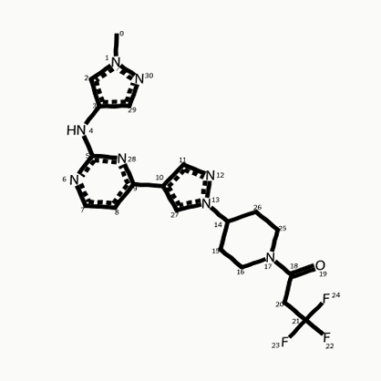 Cn1cc(Nc2nccc(-c3cnn(C4CCN(C(=O)CC(F)(F)F)CC4)c3)n2)cn1